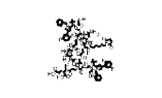 CC(C)(C)[C@H](c1cc(-c2cc(F)ccc2F)cn1Cc1ccccc1)N(CC[C@H](NC(=O)[C@H](CC(N)=O)NC(=O)CC[C@H](NC(=O)CCCCCN1C(=O)C=CC1=O)C(=O)N[C@@H](CC(N)=O)C(=O)N[C@@H](CCN(C(=O)CO)[C@@H](c1cc(-c2cc(F)ccc2F)cn1Cc1ccccc1)C(C)(C)C)C(=O)NCCC(=O)N[C@H](CCC(=O)O)C(=O)O)C(=O)NCCC(=O)N[C@H](CCC(=O)O)C(=O)O)C(=O)CO